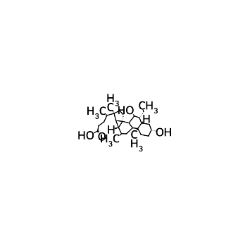 CC[C@H]1C(O)C2C(CC(C)[C@@H]3C4[C@@]23CC[C@]4(C)[C@H](C)CCC(=O)O)[C@@]2(C)CC[C@@H](O)C[C@@H]12